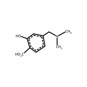 CN(C)Cc1ccc(C(=O)O)c(O)c1